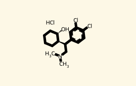 CN(C)CC(c1ccc(Cl)c(Cl)c1)[C@H]1CCCC[C@@H]1O.Cl